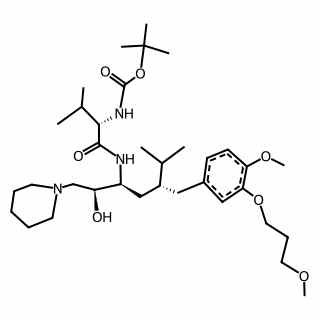 COCCCOc1cc(C[C@H](C[C@H](NC(=O)[C@@H](NC(=O)OC(C)(C)C)C(C)C)[C@@H](O)CN2CCCCC2)C(C)C)ccc1OC